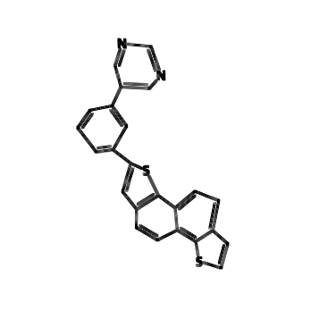 c1cc(-c2cncnc2)cc(-c2cc3ccc4c(ccc5ccsc54)c3s2)c1